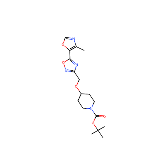 Cc1ncoc1-c1nc(COC2CCN(C(=O)OC(C)(C)C)CC2)no1